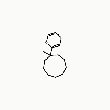 CC1(C2=C[N]C=CO2)CCCCCCCC1